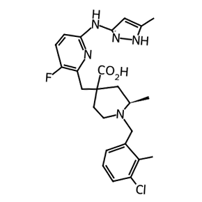 Cc1cc(Nc2ccc(F)c(CC3(C(=O)O)CCN(Cc4cccc(Cl)c4C)[C@H](C)C3)n2)n[nH]1